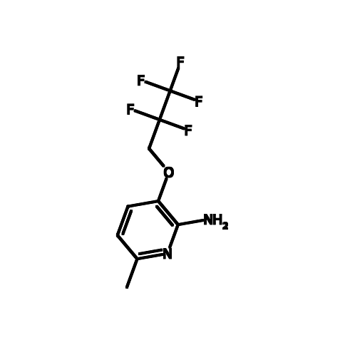 Cc1ccc(OCC(F)(F)C(F)(F)F)c(N)n1